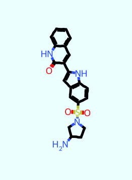 NC1CCN(S(=O)(=O)c2ccc3[nH]c(-c4cc5ccccc5[nH]c4=O)cc3c2)C1